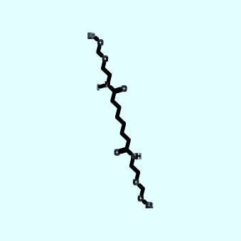 CCOCOCCNC(=O)CCCCCCC(=O)N(I)CCOCOCC